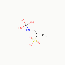 CC(CNC(O)(O)O)S(=O)(=O)O